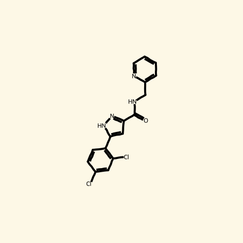 O=C(NCc1ccccn1)c1cc(-c2ccc(Cl)cc2Cl)[nH]n1